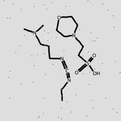 CCN=C=NCCCN(C)C.O=S(=O)(O)CCN1CCOCC1